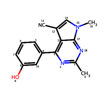 Cc1nc(-c2cccc(O)c2)c2c(C#N)cn(C)c2n1